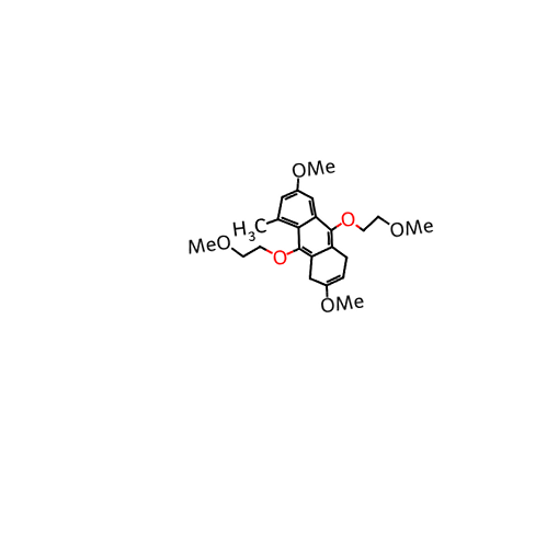 COCCOc1c2c(c(OCCOC)c3c(C)cc(OC)cc13)CC(OC)=CC2